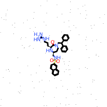 N=C(N)NCCC[C@@H]1N[C@H](CNS(=O)(=O)c2ccc3ccccc3c2)CCN(CC(c2ccccc2)c2ccccc2)C1=O